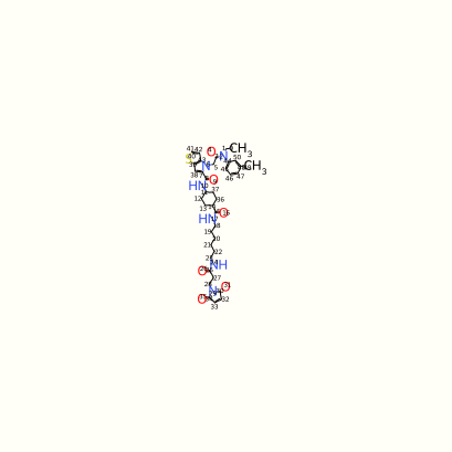 CCN(C(=O)Cn1c(C(=O)N[C@H]2CC[C@H](C(=O)NCCCCCCNC(=O)CCN3C(=O)C=CC3=O)CC2)cc2sccc21)c1cccc(C)c1